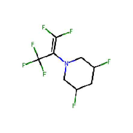 FC(F)=C(N1CC(F)CC(F)C1)C(F)(F)F